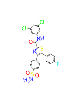 NS(=O)(=O)c1ccc(-c2nc(C(=O)Nc3cc(Cl)cc(Cl)c3)sc2-c2ccc(F)cc2)cc1